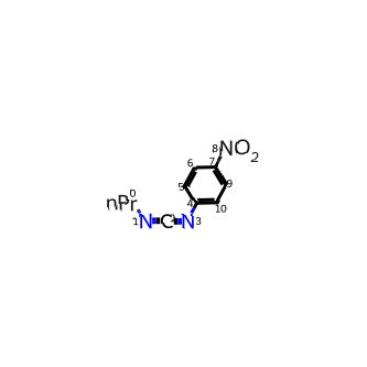 CCCN=C=Nc1ccc([N+](=O)[O-])cc1